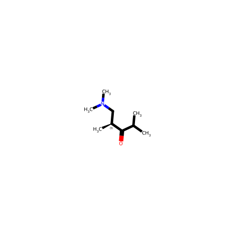 CC(C)C(=O)[C@@H](C)CN(C)C